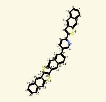 c1ccc2cc3sc(-c4ccc(-c5ccc6cc7c(cc6c5)sc5c6cc8ccccc8cc6sc75)cn4)cc3cc2c1